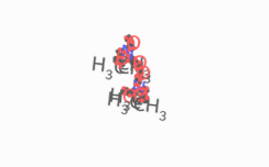 CC(C)(C)c1cccc2c1oc1c(N(c3ccc4cc5c(cc4c3)oc3cc4oc6cc7cc(N(c8ccc9oc%10ccccc%10c9c8)c8cccc9c8oc8c(C(C)(C)C)cccc89)ccc7cc6c4cc35)c3ccc4oc5ccccc5c4c3)cccc12